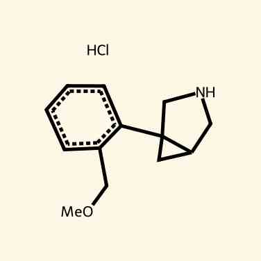 COCc1ccccc1C12CNCC1C2.Cl